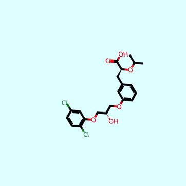 CC(C)O[C@@H](Cc1cccc(OC[C@H](O)COc2cc(Cl)ccc2Cl)c1)C(=O)O